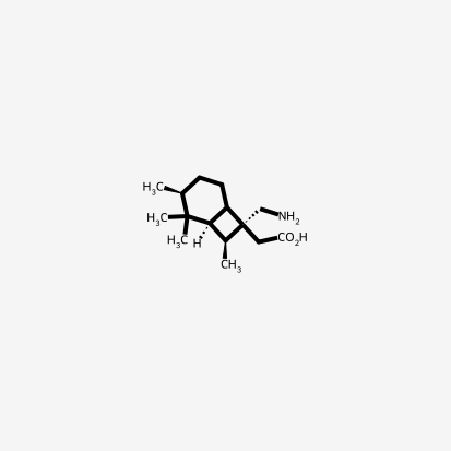 C[C@H]1CCC2[C@@H]([C@H](C)[C@]2(CN)CC(=O)O)C1(C)C